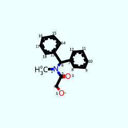 CN(C(=O)C[O])C(c1ccccc1)c1ccccc1